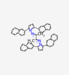 CC(=N\n1c(-c2ccc3ccccc3c2)ccc1-c1ccc2ccccc2c1)/C(C)=N/n1c(-c2ccc3ccccc3c2)ccc1-c1ccc2ccccc2c1